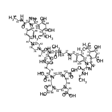 CCNC(=O)c1nnc(-c2cc(C(C)C)c(O)cc2O)n1-c1ccc(CNCCNC(=O)[C@@H](C)NC(=O)[C@@H](CC(=O)N2CCN(Cc3ccc(-n4c(C(=O)NCC)nnc4-c4cc(C(C)C)c(O)cc4O)cc3)CC2)NC(=O)CC[C@H](C(=O)O)N2CCN(CC(=O)O)CCN(CC(=O)O)CCN(CC(=O)O)CC2)cc1